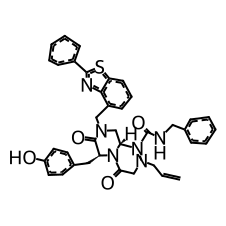 C=CCN1CC(=O)N2[C@@H](Cc3ccc(O)cc3)C(=O)N(Cc3cccc4sc(-c5ccccc5)nc34)C[C@@H]2N1C(=O)NCc1ccccc1